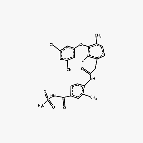 Cc1cc(C(=O)NS(C)(=O)=O)ccc1NC(=O)Cc1ccc(C)c(Oc2cc(Cl)cc(C#N)c2)c1F